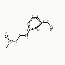 C[S+]([O-])CCOc1cccc(CCl)c1